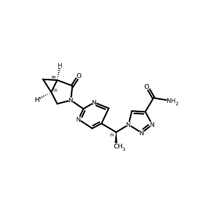 C[C@@H](c1cnc(N2C[C@H]3C[C@H]3C2=O)nc1)n1cc(C(N)=O)nn1